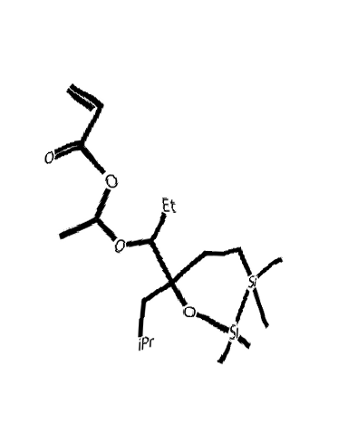 C=CC(=O)OC(C)OC(CC)C1(CC(C)C)CC[Si](C)(C)[Si](C)(C)O1